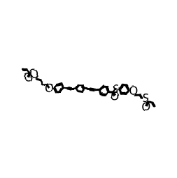 C=CC(=O)OCCCCOc1ccc(C#Cc2ccc(C#Cc3ccc(C(=O)Sc4ccc(OCCCSC(=O)C=C)cc4)cc3)cc2)cc1